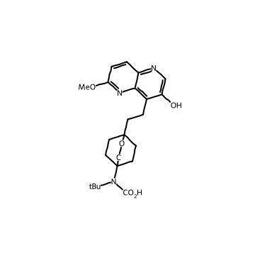 COc1ccc2ncc(O)c(CCC34CCC(N(C(=O)O)C(C)(C)C)(CC3)CO4)c2n1